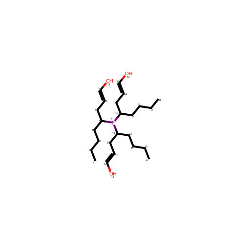 CCCCC(CC=CO)P(C(CC=CO)CCCC)C(CC=CO)CCCC